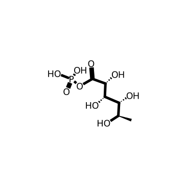 C[C@@H](O)[C@@H](O)[C@H](O)[C@@H](O)C(=O)OP(=O)(O)O